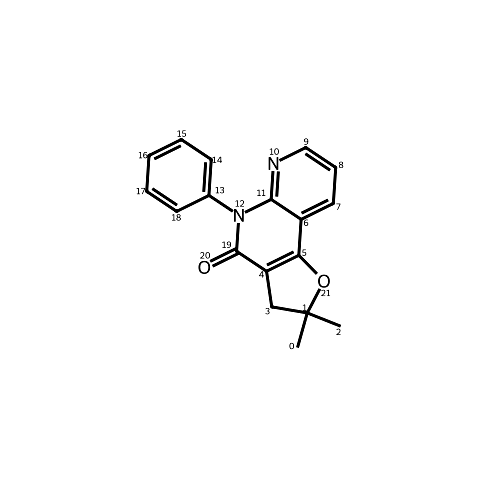 CC1(C)Cc2c(c3cccnc3n(-c3ccccc3)c2=O)O1